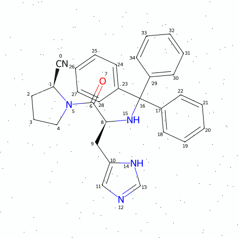 N#C[C@@H]1CCCN1C(=O)[C@H](Cc1cnc[nH]1)NC(c1ccccc1)(c1ccccc1)c1ccccc1